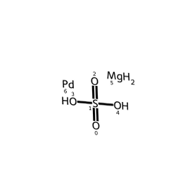 O=S(=O)(O)O.[MgH2].[Pd]